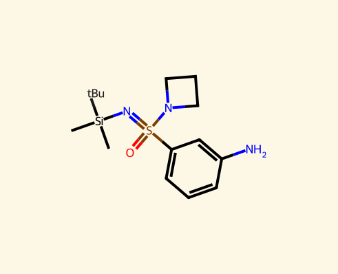 CC(C)(C)[Si](C)(C)N=S(=O)(c1cccc(N)c1)N1CCC1